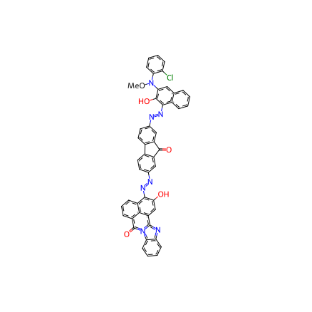 CON(c1ccccc1Cl)c1cc2ccccc2c(N=Nc2ccc3c(c2)C(=O)c2cc(N=Nc4c(O)cc5c6c4cccc6c(=O)n4c6ccccc6nc54)ccc2-3)c1O